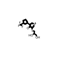 Cn1cc(SCC(O)CO)c(=O)c(-c2cccc(C(F)(F)F)c2)c1